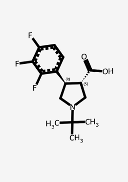 CC(C)(C)N1C[C@@H](C(=O)O)[C@H](c2ccc(F)c(F)c2F)C1